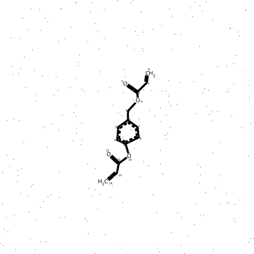 C=CC(=O)OCc1ccc(OC(=O)C=C)cc1